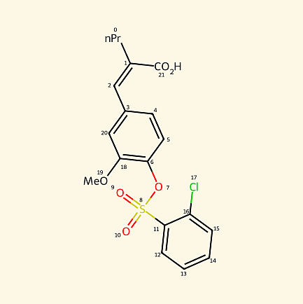 CCCC(=Cc1ccc(OS(=O)(=O)c2ccccc2Cl)c(OC)c1)C(=O)O